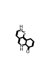 O=C1C=CCC2=C3SNC=CC3=CNC12